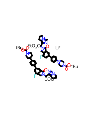 CC(C)(C)OC(=O)N1CCC(c2ccc(-c3cc(F)c4c(c3)C(=O)N(C(C(=O)[O-])c3ncn5c3CCC5)C4)cc2)CC1.CCOC(=O)C(c1ncn2c1CCC2)N1Cc2c(F)cc(-c3ccc(N4CCN(C(=O)OC(C)(C)C)CC4)cc3)cc2C1=O.[Li+]